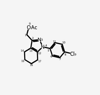 CC(=O)OCc1nn(-c2ccc(Cl)cc2)c2c1CCCC2